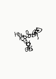 CCCCS(=O)(=O)Oc1ccc(-c2ccc3c(c2COc2cc([N+](=O)[O-])ccc2C)C(C)=CC(C)(C)N3)c(OC)c1